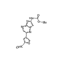 CC(C)(C)OC(=O)Nc1nc2ncc(-c3coc(C=O)c3)nc2s1